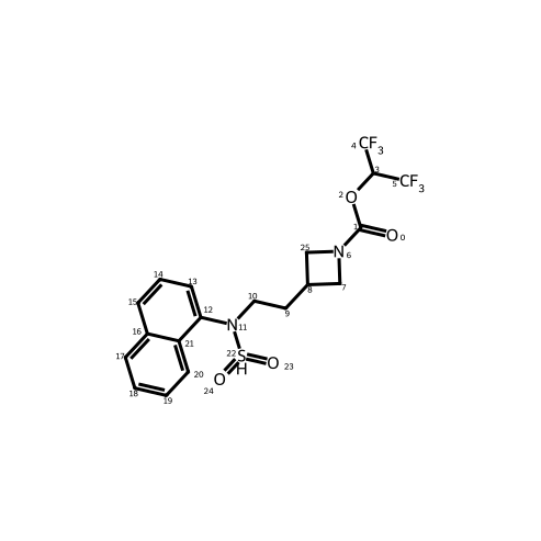 O=C(OC(C(F)(F)F)C(F)(F)F)N1CC(CCN(c2cccc3ccccc23)[SH](=O)=O)C1